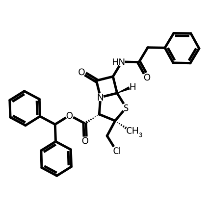 C[C@@]1(CCl)S[C@H]2C(NC(=O)Cc3ccccc3)C(=O)N2[C@H]1C(=O)OC(c1ccccc1)c1ccccc1